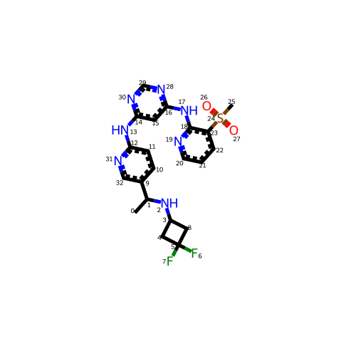 CC(NC1CC(F)(F)C1)c1ccc(Nc2cc(Nc3ncccc3S(C)(=O)=O)ncn2)nc1